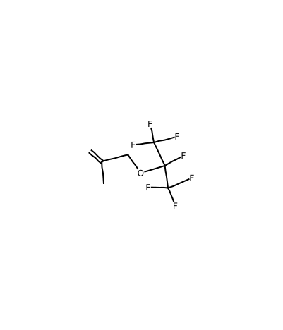 C=C(C)COC(F)(C(F)(F)F)C(F)(F)F